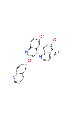 [Al+3].[O-]c1ccc2ncccc2c1.[O-]c1ccc2ncccc2c1.[O-]c1ccc2ncccc2c1